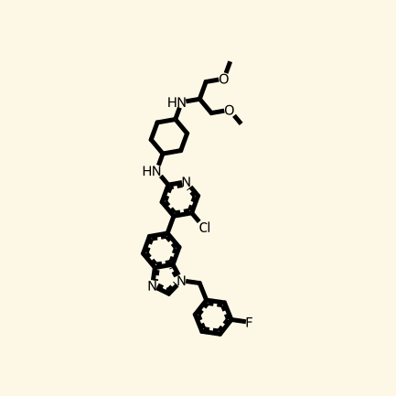 COCC(COC)NC1CCC(Nc2cc(-c3ccc4ncn(Cc5cccc(F)c5)c4c3)c(Cl)cn2)CC1